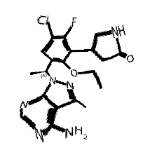 CCOc1c([C@H](C)n2nc(C)c3c(N)ncnc32)cc(Cl)c(F)c1C1CNC(=O)C1